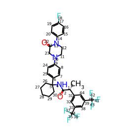 C[C@@H](C(=O)NC1(c2ccc(N3CCN(c4ccc(F)cc4)C(=O)C3)cc2)CCCCC1)c1cc(C(F)(F)F)cc(C(F)(F)F)c1